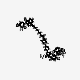 COc1cc(N2CCC(N3CCN(CCCCCCCCCNc4cccc5c4CN(C4CCC(=O)NC4=O)C5=O)CC3)CC2)ccc1Nc1ncc(Cl)c(Nc2ccccc2P(C)(C)=O)n1